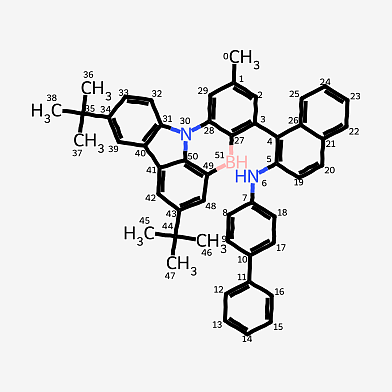 Cc1cc(-c2c(Nc3ccc(-c4ccccc4)cc3)ccc3ccccc23)c2c(c1)-n1c3ccc(C(C)(C)C)cc3c3cc(C(C)(C)C)cc(c31)B2